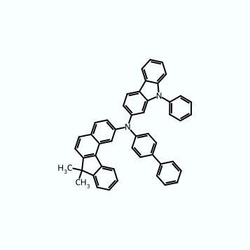 CC1(C)c2ccccc2-c2c1ccc1ccc(N(c3ccc(-c4ccccc4)cc3)c3ccc4c5ccccc5n(-c5ccccc5)c4c3)cc21